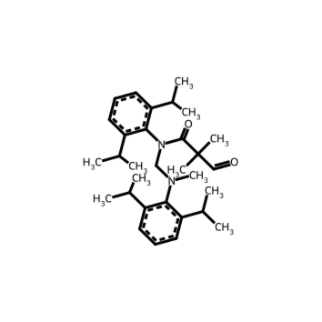 CC(C)c1cccc(C(C)C)c1N(C)CN(C(=O)C(C)(C)C=O)c1c(C(C)C)cccc1C(C)C